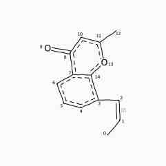 C/C=C\c1cccc2c(=O)cc(C)oc12